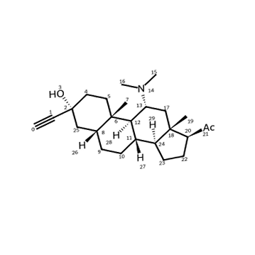 C#C[C@@]1(O)CC[C@@]2(C)[C@H](CC[C@@H]3[C@@H]2[C@H](N(C)C)C[C@]2(C)[C@@H](C(C)=O)CC[C@@H]32)C1